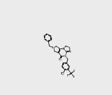 O=C1C2=C(CN(Cc3ccccc3)C2)N2CCN=C2N1Cc1ccc(Cl)c(C(F)(F)F)c1